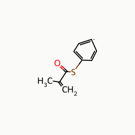 C=C(C)C(=O)Sc1cc[c]cc1